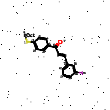 CCCCCCCCSc1ccc(C(=O)C=Cc2cccc(I)c2)cc1